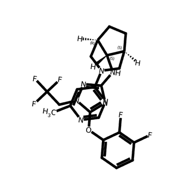 Cc1cc(N2C[C@H]3CC[C@@H](C2)[C@@H]3Nc2nc(Oc3cccc(F)c3F)n(CC(F)(F)F)n2)ncn1